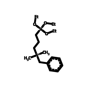 CCO[Si](CCC[N+](C)(C)Cc1ccccc1)(OCC)OCC